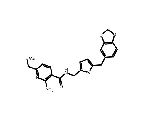 COCc1ccc(C(=O)NCc2ccc(Cc3ccc4c(c3)OCO4)s2)c(N)n1